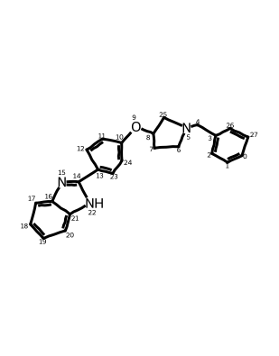 c1ccc(CN2CCC(Oc3ccc(-c4nc5ccccc5[nH]4)cc3)C2)cc1